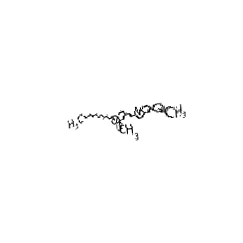 CCCCCCCCCCCCOc1ccc(C=Cc2ccc3cc(OCC)ccc3n2)cc1OC